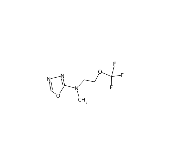 CN(CCOC(F)(F)F)c1nnco1